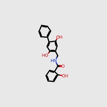 O=C(NCc1cc(O)c(-c2ccccc2)cc1O)c1ccccc1O